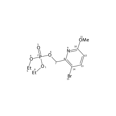 CCOP(=O)(OCC)OCc1nc(OC)ccc1Br